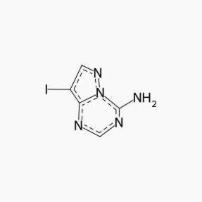 Nc1ncnc2c(I)cnn12